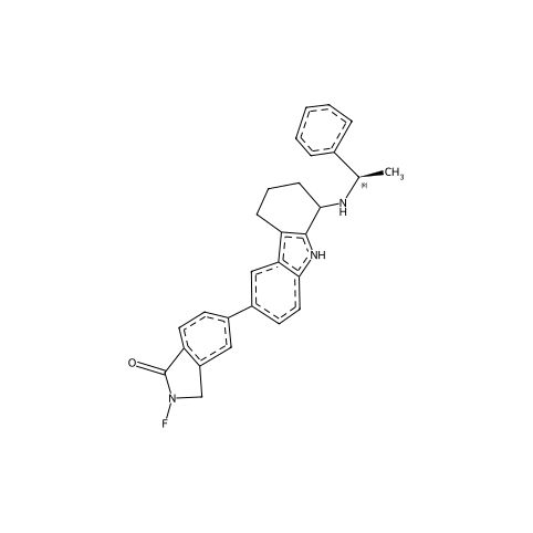 C[C@@H](NC1CCCc2c1[nH]c1ccc(-c3ccc4c(c3)CN(F)C4=O)cc21)c1ccccc1